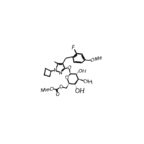 COC(=O)OC[C@H]1O[C@@H](Oc2nn(C3CCC3)c(C)c2Cc2ccc(OC)cc2F)[C@H](O)[C@@H](O)[C@@H]1O